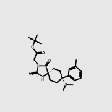 Cc1cccc([C@]2(N(C)C)CC[C@]3(CC2)NC(=O)N(CC(=O)OC(C)(C)C)C3=O)c1